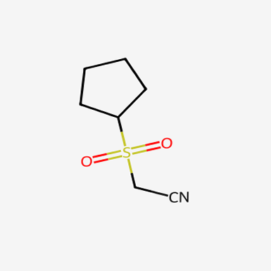 N#CCS(=O)(=O)C1CCCC1